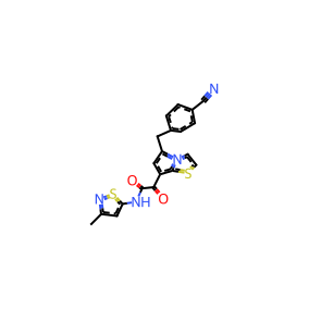 Cc1cc(NC(=O)C(=O)c2cc(Cc3ccc(C#N)cc3)n3ccsc23)sn1